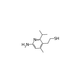 Cc1cc(N)nc(C(C)C)c1CCS